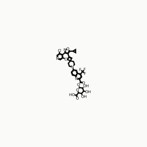 O=C(O[C@@H]1OC(C(=O)O)C(O)C(O)C1O)c1cc(C(F)(F)F)c2cc(N3CCC4(C=C(c5c(-c6c(Cl)cncc6Cl)noc5C5CC5)C4)CC3)ccc2n1